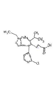 CCn1ncc2c(-c3ccnc(Cl)c3)c(/C=C/C(=O)O)c(C(C)C)nc21